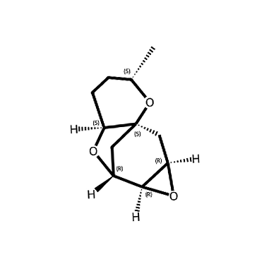 C[C@H]1CC[C@@H]2O[C@@H]3C[C@]2(C[C@H]2O[C@H]23)O1